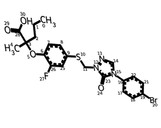 CCCC(C)(Oc1ccc(SCn2ncn(-c3ccc(Br)cc3)c2=O)cc1F)C(=O)O